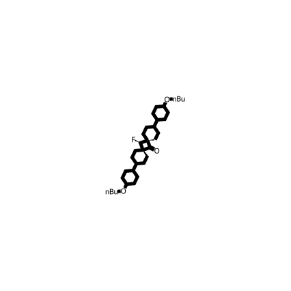 CCCCOC1CCC(C2CC[C@]3(CC2)C(=O)[C@@]2(CCC(C4CCC(OCCCC)CC4)CC2)[C@H]3F)CC1